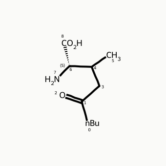 CCCCC(=O)CC(C)[C@H](N)C(=O)O